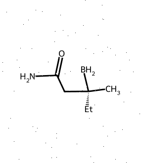 B[C@](C)(CC)CC(N)=O